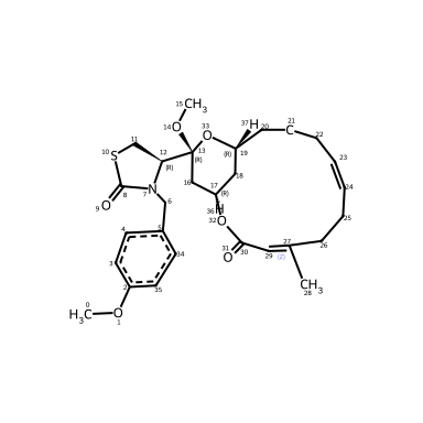 COc1ccc(CN2C(=O)SC[C@H]2[C@@]2(OC)C[C@H]3C[C@@H](CCCC=CCC/C(C)=C\C(=O)O3)O2)cc1